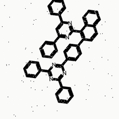 c1ccc(-c2cc(-c3ccccc3)nc(-c3c(-c4ccc(-c5nc(-c6ccccc6)nc(-c6ccccc6)n5)cc4)ccc4ccccc34)n2)cc1